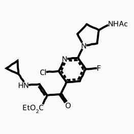 CCOC(=O)C(=CNC1CC1)C(=O)c1cc(F)c(N2CCC(NC(C)=O)C2)nc1Cl